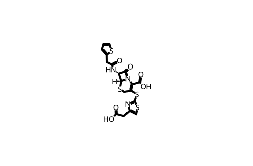 O=C(O)Cc1csc(SC2=C(C(=O)O)N3C(=O)[C@@H](NC(=O)Cc4cccs4)[C@H]3SC2)n1